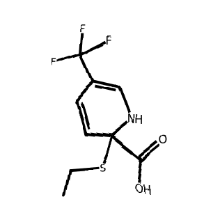 CCSC1(C(=O)O)C=CC(C(F)(F)F)=CN1